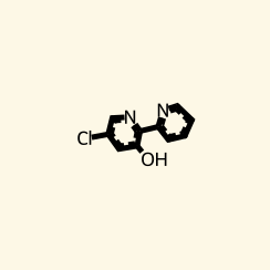 Oc1cc(Cl)cnc1-c1ccccn1